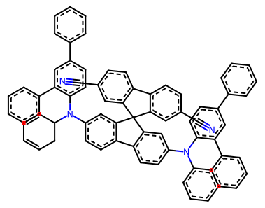 N#Cc1ccc2c(c1)C1(c3cc(C#N)ccc3-2)c2cc(N(c3ccccc3)c3ccc(-c4ccccc4)cc3-c3ccccc3)ccc2-c2ccc(N(c3ccc(-c4ccccc4)cc3-c3ccccc3)C3C=CC=CC3)cc21